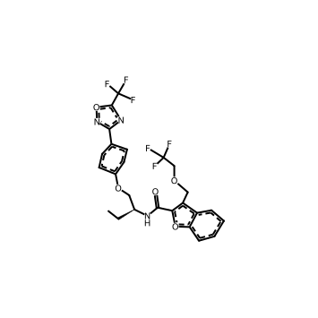 CC[C@@H](COc1ccc(-c2noc(C(F)(F)F)n2)cc1)NC(=O)c1oc2ccccc2c1COCC(F)(F)F